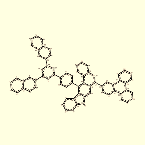 c1ccc2cc(-c3nc(-c4ccc(-c5c6c(cc7c(-c8ccc9c%10ccccc%10c%10ccccc%10c9c8)nc8ccccc8c57)oc5ccccc56)cc4)nc(-c4ccc5ccccc5c4)n3)ccc2c1